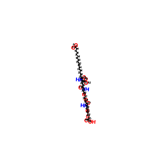 COC(=O)CCCCCCCCCCCCCCCCC(=O)N[C@@H](CCC(=O)NCCOCCOCC(=O)NCCOCCOCC(=O)O)C(=O)OC